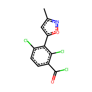 Cc1cc(-c2c(Cl)ccc(C(=O)Cl)c2Cl)on1